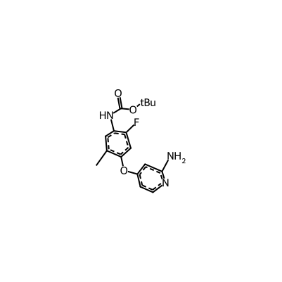 Cc1cc(NC(=O)OC(C)(C)C)c(F)cc1Oc1ccnc(N)c1